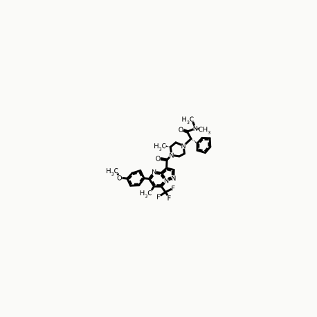 COc1ccc(-c2nc3c(C(=O)N4CCN([C@H](C(=O)N(C)C)c5ccccc5)C[C@H]4C)cnn3c(C(F)(F)F)c2C)cc1